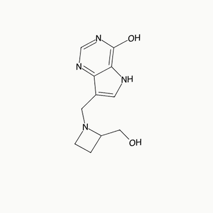 OCC1CCN1Cc1c[nH]c2c(O)ncnc12